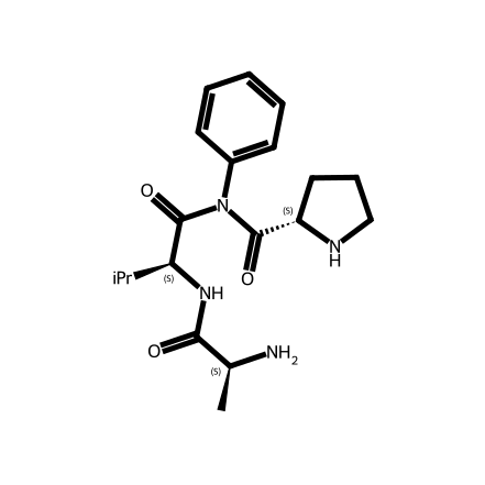 CC(C)[C@H](NC(=O)[C@H](C)N)C(=O)N(C(=O)[C@@H]1CCCN1)c1ccccc1